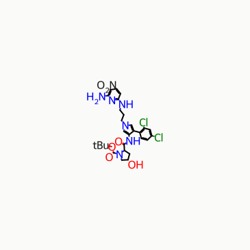 CC(C)(C)OC(=O)N1CC(O)CC1C(=O)Nc1cn(CCCNc2ccc([N+](=O)[O-])c(N)n2)cc1-c1ccc(Cl)cc1Cl